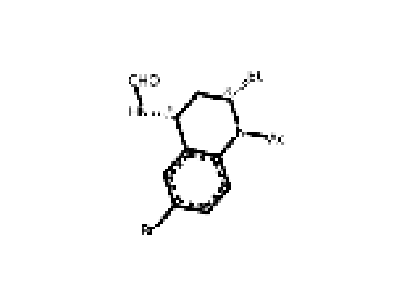 CC[C@H]1C[C@@H](NC=O)c2cc(Br)ccc2N1C(C)=O